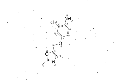 Cc1nnc(COc2ccc(N)c(Cl)c2)o1